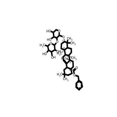 CC1OC(OC2C(O[C@H]3CC[C@@]4(C)C(CC[C@]5(C)C4CC=C4C6CC(C)(C)CC[C@]6(C(=O)OCc6ccccc6)CC[C@]45C)C3(C)C)OCC(O)C2O)C(O)C(O)C1O